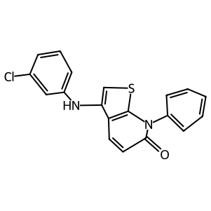 O=c1ccc2c(Nc3cccc(Cl)c3)csc2n1-c1ccccc1